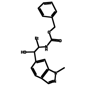 CCC(NC(=O)OCc1ccccc1)C(O)c1ccc2cnn(C)c2c1